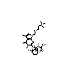 Cn1c(N2C[C@@H]3CC[C@H]2[C@H]3NC(=O)O)nc2c(c(I)cn2COCC[Si](C)(C)C)c1=O